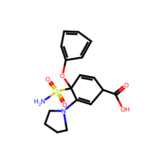 NS(=O)(=O)C1(Oc2ccccc2)C=CC(C(=O)O)C=C1N1CCCC1